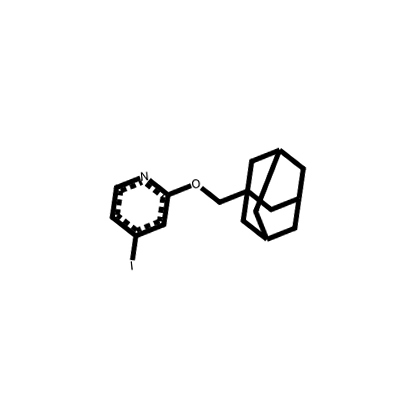 Ic1ccnc(OCC23CC4CC(CC(C4)C2)C3)c1